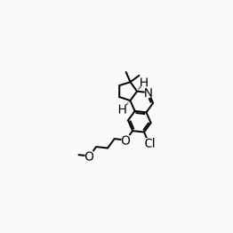 COCCCOc1cc2c(cc1Cl)C=N[C@H]1[C@@H]2CCC1(C)C